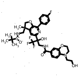 CC1(CN[S+]([O-])C(C)(C)C)COc2c1cc(C(O)(CNC(=O)c1ccc3c(c1)OCCN3CCO)C(F)(F)F)nc2-c1ccc(F)cc1